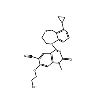 Cn1c(=O)nc(N2CCOCc3c(C4CC4)cccc32)c2cc(C#N)c(OCCO)cc21